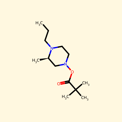 CCCN1CCN(OC(=O)C(C)(C)C)C[C@H]1C